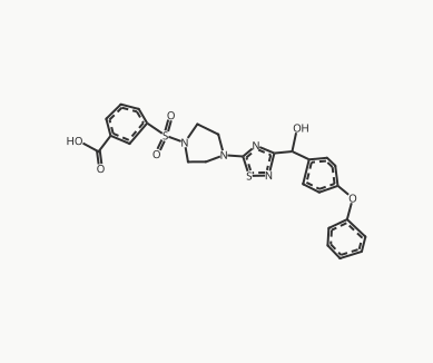 O=C(O)c1cccc(S(=O)(=O)N2CCN(c3nc(C(O)c4ccc(Oc5ccccc5)cc4)ns3)CC2)c1